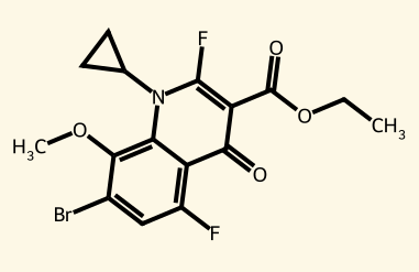 CCOC(=O)c1c(F)n(C2CC2)c2c(OC)c(Br)cc(F)c2c1=O